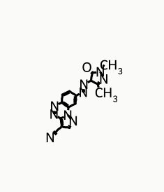 CC1=NN(C)C(=O)C1/N=N/c1ccc2nnc3c(C#N)cnn3c2c1